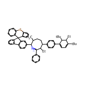 CCC1C(C(C)(C)C)=CC=C(c2ccc(C3CCC(C)C(c4ccc5c(c4)C4(c6ccccc6Sc6ccccc64)c4ccccc4-5)/N=C(/c4ccccc4)C3CC)cc2)C1C(C)(C)C